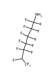 NC(F)(F)C(F)(F)C(F)(F)C(F)(F)C(F)(F)C(F)C(F)(F)F